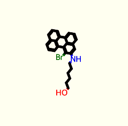 OCCCCCCNc1cc2cccc3c4cccc5cccc(c(c1Br)c23)c54